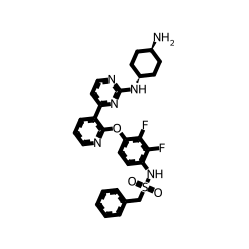 N[C@H]1CC[C@H](Nc2nccc(-c3cccnc3Oc3ccc(NS(=O)(=O)Cc4ccccc4)c(F)c3F)n2)CC1